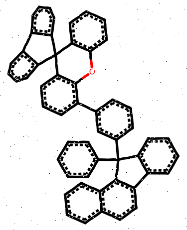 c1ccc(C2(c3cccc(-c4cccc5c4Oc4ccccc4C54c5ccccc5-c5ccccc54)c3)c3ccccc3-c3ccc4ccccc4c32)cc1